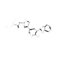 CNC(=O)C(C)n1cc(-c2cnc(N)c(-c3nc4ccccc4s3)c2)cn1